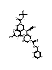 CC(C)(C)OC(=O)N1CCc2c(nc(Cl)nc2N2CCN(C(=O)OCc3ccccc3)CC2CC#N)C1